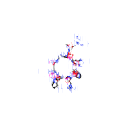 CC(=O)N[C@H](CCCNC(=N)N)C(=O)N[C@H]1CCCNC(=O)CC[C@@H](C(N)=O)NC(=O)[C@H](Cc2c[nH]c3ccccc23)NC(=O)[C@H](CCCNC(=N)N)NC(=O)[C@@H](Cc2ccccc2)NC(=O)[C@H](Cc2c[nH]cn2)NC1=O